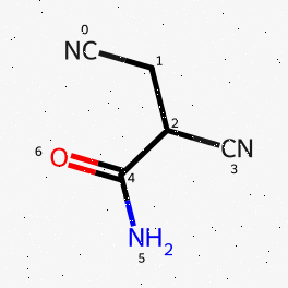 N#CCC(C#N)C(N)=O